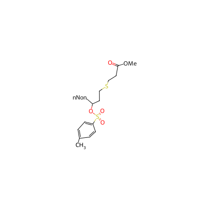 CCCCCCCCCC(CCSCCC(=O)OC)OS(=O)(=O)c1ccc(C)cc1